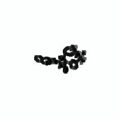 Cn1c(N=C[C@@H]2Cc3ccccc3CN2)nc(-c2ccncc2)c(-c2cccc(C(F)(F)F)c2)c1=O